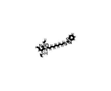 CCSc1cc(C)nc(SCC)c1NC(=O)CCCCCCCCSc1nc2ccccc2s1